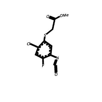 COC(=O)CSc1cc(N=C=O)c(F)cc1Cl